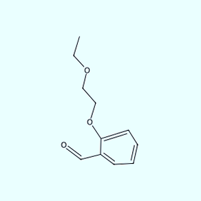 CCOCCOc1ccccc1C=O